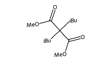 CCC(C)C(C(=O)OC)(C(=O)OC)C(C)CC